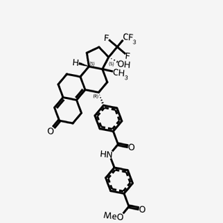 COC(=O)c1ccc(NC(=O)c2ccc([C@H]3CC4(C)[C@@H](CC[C@@]4(O)C(F)(F)C(F)(F)F)C4CCC5=CC(=O)CCC5=C43)cc2)cc1